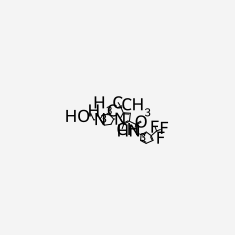 Cc1c(C(=O)Nc2cccc(C(F)(F)F)c2)cc(C(C)(C)C)n1C1CCN(CCO)CC1